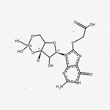 Nc1nc2c(nc(SCC(=O)O)n2[C@@H]2OC3CO[PH](O)(S)O[C@H]3C2O)c(=O)[nH]1